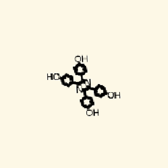 Oc1ccc(-c2nc(-c3ccc(O)cc3)c(-c3ccc(O)cc3)nc2-c2ccc(O)cc2)cc1